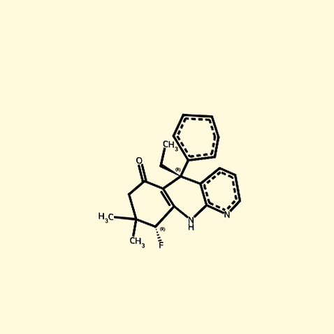 CC[C@]1(c2ccccc2)C2=C(Nc3ncccc31)[C@H](F)C(C)(C)CC2=O